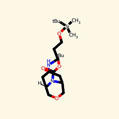 CC(C)(C)OC(=O)N1C2COC[C@H]1C[C@H](NCCCO[Si](C)(C)C(C)(C)C)C2